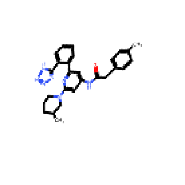 Cc1ccc(CC(=O)Nc2cc(-c3ccccc3-c3nnn[nH]3)nc(N3CCCC(C)C3)c2)cc1